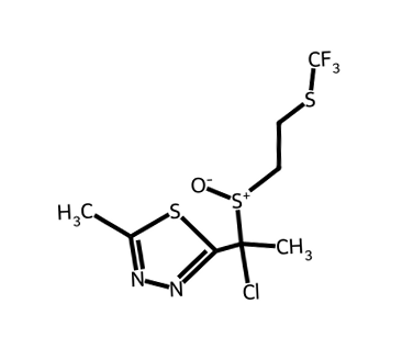 Cc1nnc(C(C)(Cl)[S+]([O-])CCSC(F)(F)F)s1